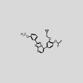 COc1cccc(-c2nc3nccc(-c4ccc(OC(F)F)c(OCC5CC5)c4)n3n2)c1